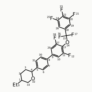 CCC1CCC(c2ccc(-c3cc(F)c(OC(F)(F)c4cc(F)c(F)c(F)c4)c(F)c3)cc2)OC1